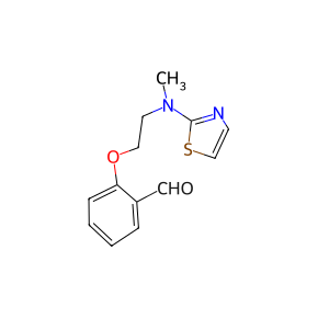 CN(CCOc1ccccc1C=O)c1nccs1